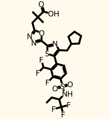 CCC(NS(=O)(=O)c1ccc(-c2sc(-c3nnc(CC(C)(C)C(=O)O)o3)nc2CC2CCCC2)c(C(F)F)c1F)C(F)(F)F